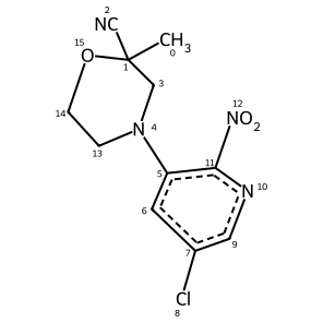 CC1(C#N)CN(c2cc(Cl)cnc2[N+](=O)[O-])CCO1